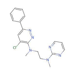 CN(CCN(C)c1nnc(-c2ccccc2)cc1Cl)c1ncccn1